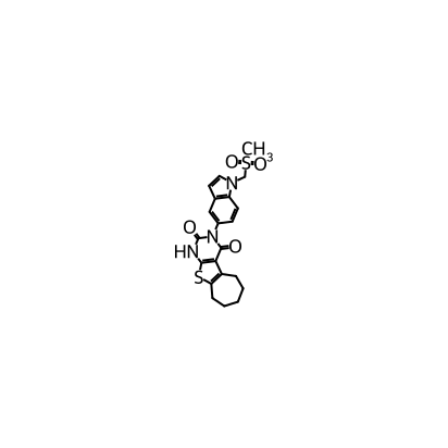 CS(=O)(=O)Cn1ccc2cc(-n3c(=O)[nH]c4sc5c(c4c3=O)CCCCC5)ccc21